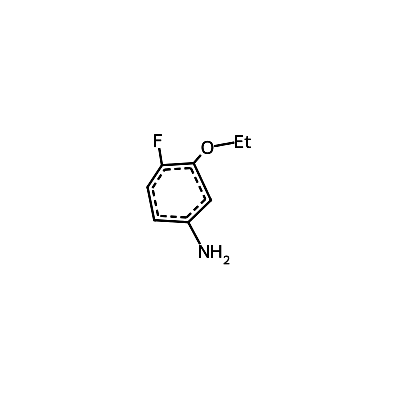 CCOc1cc(N)ccc1F